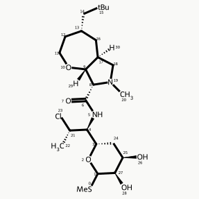 CSC1O[C@H]([C@H](NC(=O)[C@@H]2[C@@H]3OCC[C@H](CC(C)(C)C)C[C@H]3CN2C)[C@H](C)Cl)C[C@@H](O)[C@H]1O